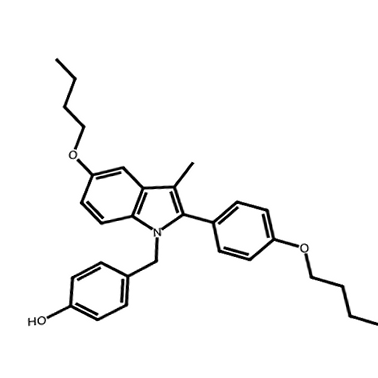 CCCCOc1ccc(-c2c(C)c3cc(OCCCC)ccc3n2Cc2ccc(O)cc2)cc1